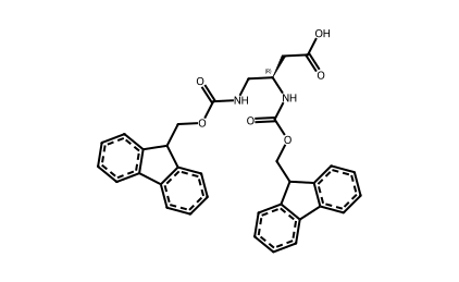 O=C(O)C[C@H](CNC(=O)OCC1c2ccccc2-c2ccccc21)NC(=O)OCC1c2ccccc2-c2ccccc21